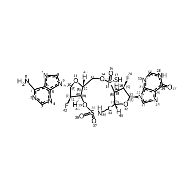 Nc1ncnc2c1ncn2[C@@H]1O[C@@H]2CO[P@](=O)(S)[C@H]3[C@@H](F)[C@@H](n4cnc5c(=O)[nH]cnc54)O[C@@H]3CNS(=O)(=O)O[C@H]2[C@H]1F